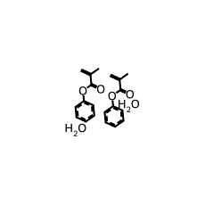 C=C(C)C(=O)Oc1ccccc1.C=C(C)C(=O)Oc1ccccc1.O.O